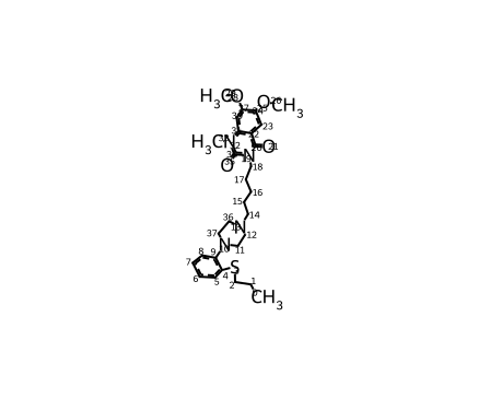 CCCSc1ccccc1N1CCN(CCCCCn2c(=O)c3cc(OC)c(OC)cc3n(C)c2=O)CC1